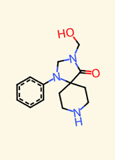 O=C1N(CO)CN(c2ccccc2)C12CCNCC2